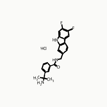 CC(C)(N)c1cccc(C(=O)NCc2ccc3c(c2)[nH]c2cc(F)c(F)cc23)c1.Cl